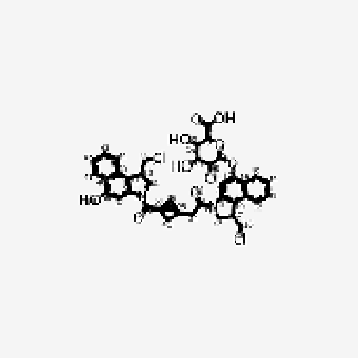 O=C(O)C1OC(Oc2cc3c(c4ccccc24)C(CCl)CN3C(=O)CC23CC(C(=O)N4CC(CCl)c5c4cc(O)c4ccccc54)(C2)C3)C(O)C(O)C1O